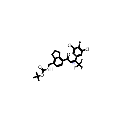 CC(C)(C)OC(=O)NCc1ccc(C(=O)/C=C(\c2cc(Cl)c(F)c(Cl)c2)C(F)(F)F)c2c1CCC2